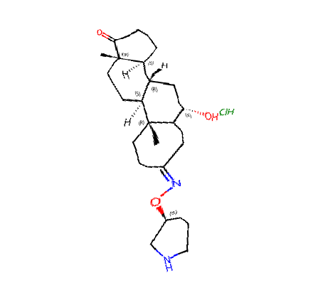 C[C@]12CCC(=NO[C@H]3CCNC3)CC1[C@@H](O)C[C@@H]1[C@@H]2CC[C@]2(C)C(=O)CC[C@@H]12.Cl